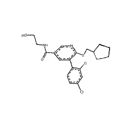 O=C(NCCO)c1cnc(OCC2CCCC2)c(-c2ccc(Cl)cc2Cl)c1